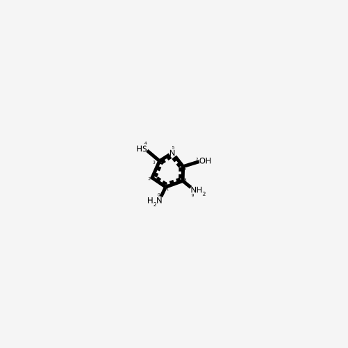 Nc1cc(S)nc(O)c1N